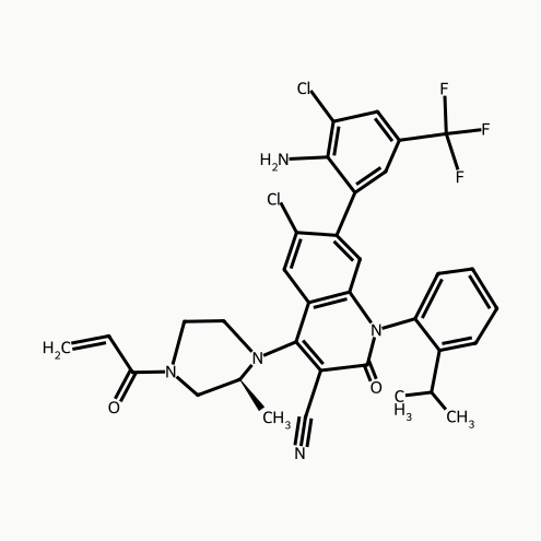 C=CC(=O)N1CCN(c2c(C#N)c(=O)n(-c3ccccc3C(C)C)c3cc(-c4cc(C(F)(F)F)cc(Cl)c4N)c(Cl)cc23)[C@@H](C)C1